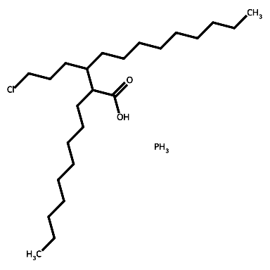 CCCCCCCCCC(CCCCl)C(CCCCCCCCC)C(=O)O.P